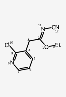 CCOC(Cc1cccnc1Cl)=NC#N